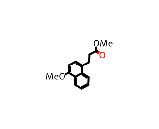 COC(=O)CCc1ccc(OC)c2ccccc12